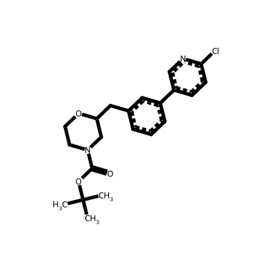 CC(C)(C)OC(=O)N1CCOC(Cc2cccc(-c3ccc(Cl)nc3)c2)C1